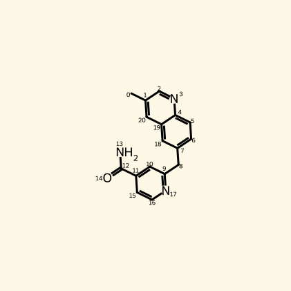 Cc1cnc2ccc(Cc3cc(C(N)=O)ccn3)cc2c1